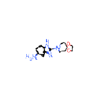 Nc1ccc2[nH]c(N3CCC4(CC3)OCCO4)nc2c1